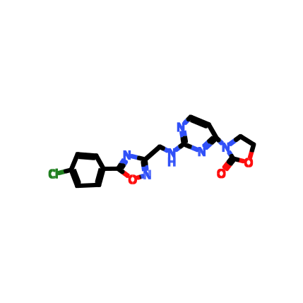 O=C1OCCN1c1ccnc(NCc2noc(-c3ccc(Cl)cc3)n2)n1